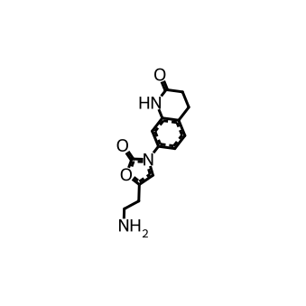 NCCc1cn(-c2ccc3c(c2)NC(=O)CC3)c(=O)o1